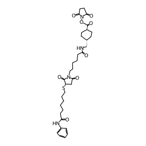 O=C(CCCCCN1C(=O)CC(SCCCCCCC(=O)Nc2ccccc2)C1=O)NC[C@H]1CC[C@H](C(=O)ON2C(=O)CCC2=O)CC1